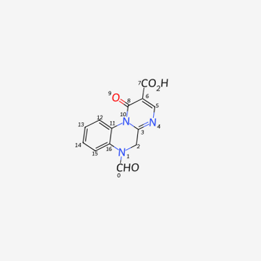 O=CN1Cc2ncc(C(=O)O)c(=O)n2-c2ccccc21